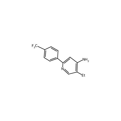 CCc1cnc(-c2ccc(C(F)(F)F)cc2)cc1N